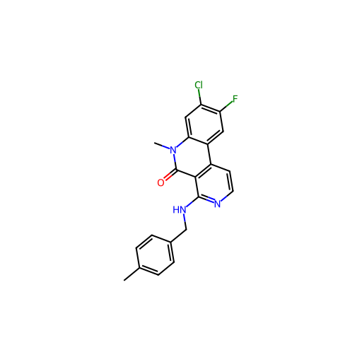 Cc1ccc(CNc2nccc3c2c(=O)n(C)c2cc(Cl)c(F)cc32)cc1